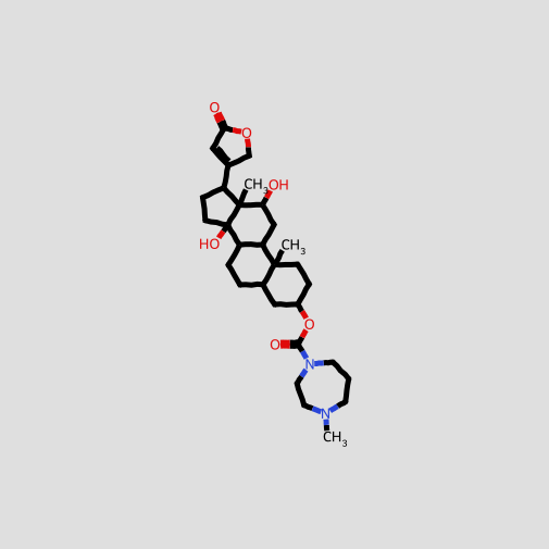 CN1CCCN(C(=O)OC2CCC3(C)C(CCC4C3CC(O)C3(C)C(C5=CC(=O)OC5)CCC43O)C2)CC1